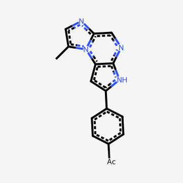 CC(=O)c1ccc(-c2cc3c(ncc4ncc(C)n43)[nH]2)cc1